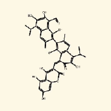 Cc1cc2c(c(O)c1-c1c(C)cc3c(C(C)C)c(O)c(O)c(C=O)c3c1O)/C(=C/c1c(O)c3c(O)cc(O)cc3oc1=O)C(=O)C(O)=C2C(C)C